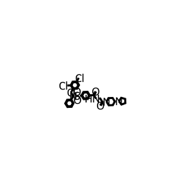 O=C(NCC(=O)N1CCC(N2CCCC2)CC1)c1ccc(S(=O)(=O)N(Oc2ccc(Cl)cc2Cl)c2ccccc2)cc1